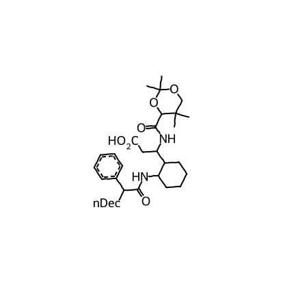 CCCCCCCCCCC(C(=O)NC1CCCCC1C(CC(=O)O)NC(=O)C1OC(C)(C)OCC1(C)C)c1ccccc1